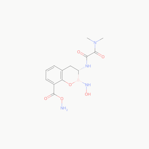 CN(C)C(=O)C(=O)N[C@H]1Cc2cccc(C(=O)ON)c2OB1NO